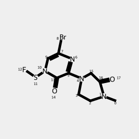 CN1CCN(c2nc(Br)cn(SF)c2=O)CC1=O